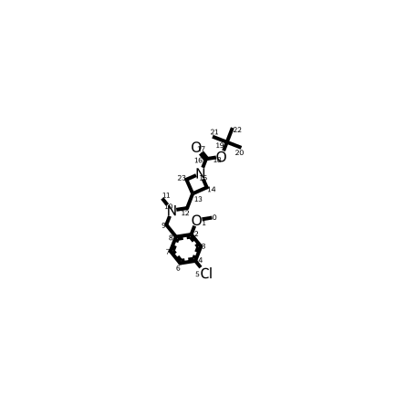 COc1cc(Cl)ccc1CN(C)CC1CN(C(=O)OC(C)(C)C)C1